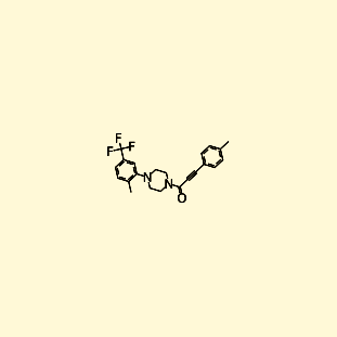 Cc1ccc(C#CC(=O)N2CCN(c3cc(C(F)(F)F)ccc3C)CC2)cc1